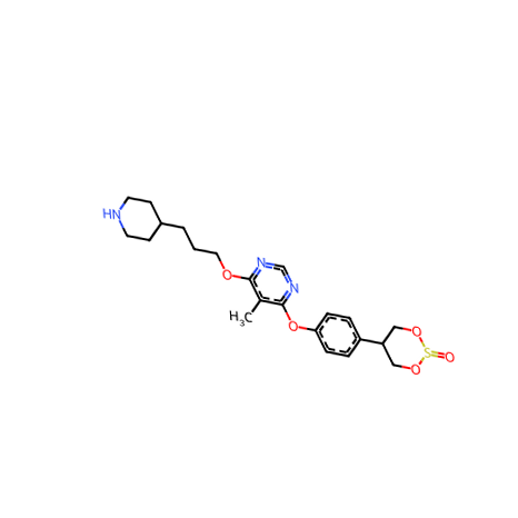 Cc1c(OCCCC2CCNCC2)ncnc1Oc1ccc(C2COS(=O)OC2)cc1